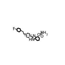 NC(=O)Oc1cccc2[nH]c(N3CCN(CCc4ccc(F)cc4)CC3)nc12